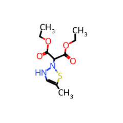 CCOC(=O)C(C(=O)OCC)N1NC=C(C)S1